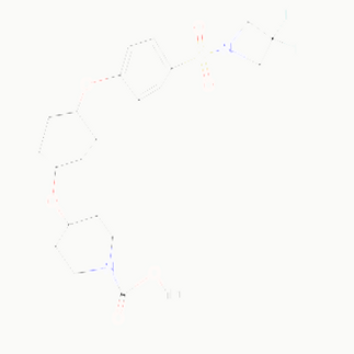 CC(C)OC(=O)N1CCC(OC2CCC(Oc3ccc(S(=O)(=O)N4CC(F)(F)C4)cc3)CC2)CC1